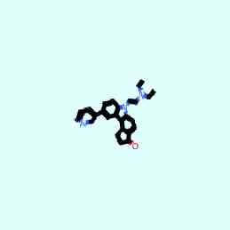 CCN(CC)CCn1c2ccc(-c3cccnc3)cc2c2c3c(ccc21)C(=O)CC3